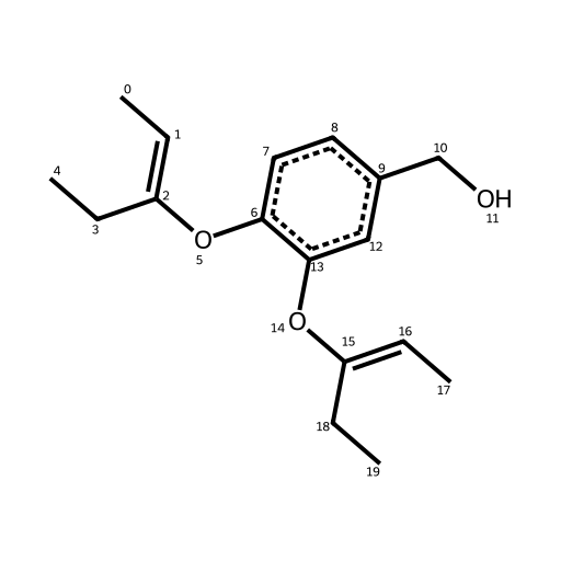 CC=C(CC)Oc1ccc(CO)cc1OC(=CC)CC